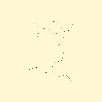 CCO[SiH](OCC)OCC.CO[Si](CCN(C)C)(OC)OC